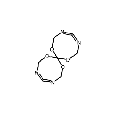 C1=NCOC2(OCN=1)OCN=C=NCO2